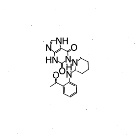 CC(=O)c1ccccc1NC1CCCCN1n1c(=O)[nH]c2nc[nH]c2c1=O